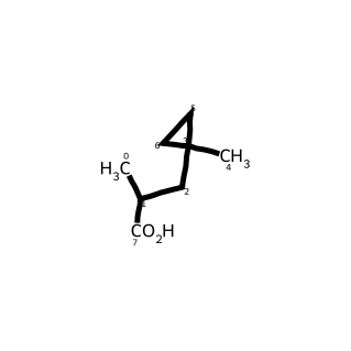 CC(CC1(C)CC1)C(=O)O